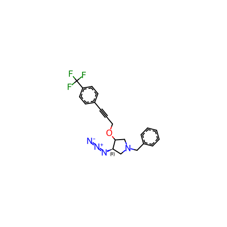 [N-]=[N+]=N[C@@H]1CN(Cc2ccccc2)CC1OCC#Cc1ccc(C(F)(F)F)cc1